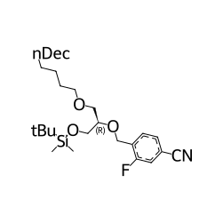 CCCCCCCCCCCCCCOC[C@H](CO[Si](C)(C)C(C)(C)C)OCc1ccc(C#N)cc1F